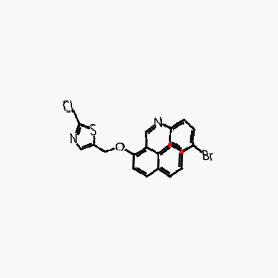 Clc1ncc(COc2ccc3ccccc3c2/C=N\c2ccc(Br)cc2)s1